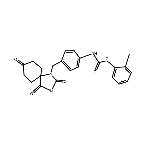 Cc1ccccc1NC(=O)Nc1ccc(CN2C(=O)[N]C(=O)C23CCC(=O)CC3)cc1